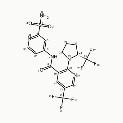 NS(=O)(=O)c1cc(NC(=O)c2cc(C(F)(F)F)cnc2N2CCC[C@@H]2C(F)(F)F)ccn1